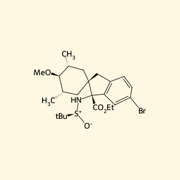 CCOC(=O)[C@]1(N[S@@+]([O-])C(C)(C)C)c2cc(Br)ccc2C[C@@]12C[C@@H](C)[C@H](OC)[C@@H](C)C2